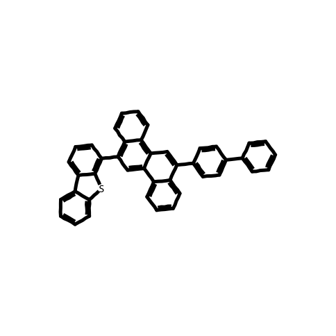 c1ccc(-c2ccc(-c3cc4c5ccccc5c(-c5cccc6c5sc5ccccc56)cc4c4ccccc34)cc2)cc1